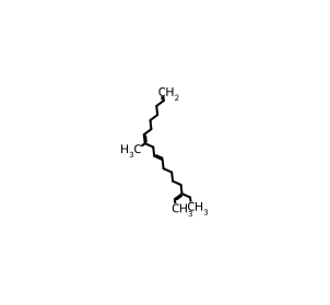 C=CCCCCC=C(C)CC=CCCCCC(=CC)CC